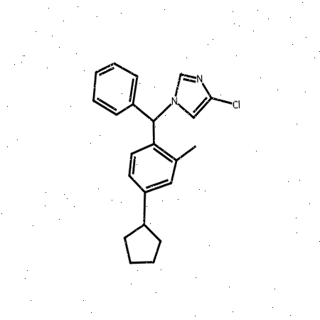 Cc1cc(C2CCCC2)ccc1C(c1ccccc1)n1cnc(Cl)c1